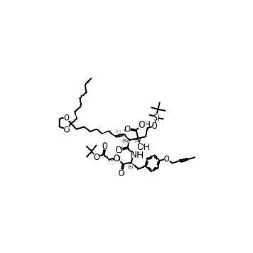 CC#CCOc1ccc(C[C@H](NC(=O)[C@@H](/C=C/CCCCCCC2(CCCCCCC)OCCO2)[C@@](O)(CCO[Si](C)(C)C(C)(C)C)C(=O)O)C(=O)OCC(=O)OC(C)(C)C)cc1